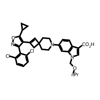 CCCOCn1cc(C(=O)O)c2ccc(N3CCC4(C=C(c5c(-c6c(Cl)cccc6Cl)noc5C5CC5)C4)CC3)cc21